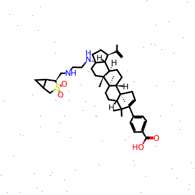 C=C(C)[C@@H]1CC[C@]2(NCCNC[C@@H]3C4CC4CS3(=O)=O)CC[C@]3(C)[C@H](CC[C@@H]4[C@@]5(C)CC=C(c6ccc(C(=O)O)cc6)C(C)(C)[C@@H]5CC[C@]43C)[C@@H]12